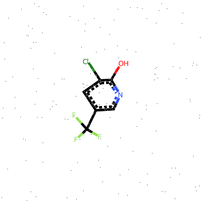 Oc1ncc(C(F)(F)F)cc1Cl